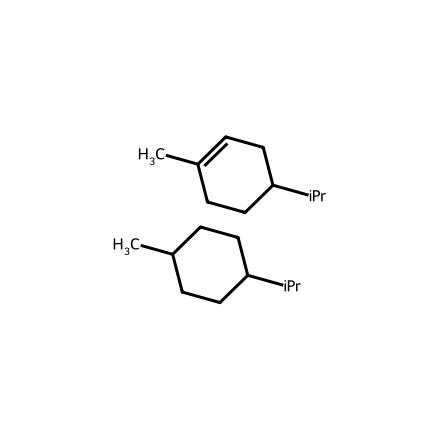 CC1=CCC(C(C)C)CC1.CC1CCC(C(C)C)CC1